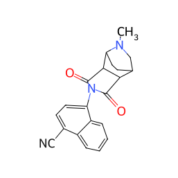 CN1CC2CCC1C1C(=O)N(c3ccc(C#N)c4ccccc34)C(=O)C21